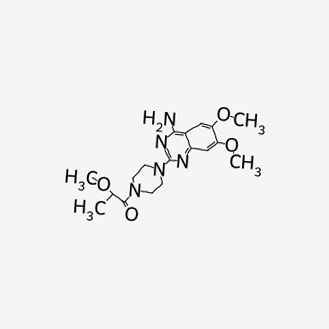 COc1cc2nc(N3CCN(C(=O)C(C)OC)CC3)nc(N)c2cc1OC